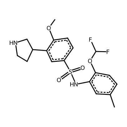 COc1ccc(S(=O)(=O)Nc2cc(C)ccc2OC(F)F)cc1C1CCNC1